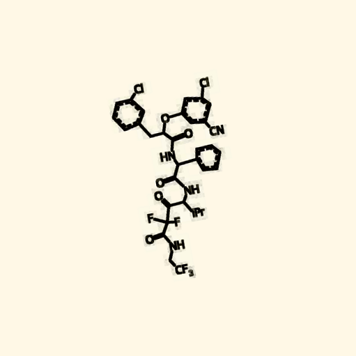 CC(C)C(NC(=O)C(NC(=O)C(Cc1cccc(Cl)c1)Oc1cc(Cl)cc(C#N)c1)c1ccccc1)C(=O)C(F)(F)C(=O)NCC(F)(F)F